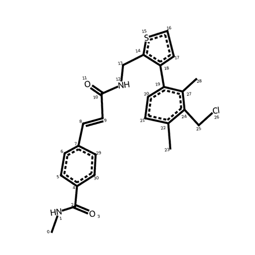 CNC(=O)c1ccc(C=CC(=O)NCc2sccc2-c2ccc(C)c(CCl)c2C)cc1